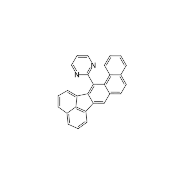 c1cnc(-c2c3c(cc4ccc5ccccc5c24)-c2cccc4cccc-3c24)nc1